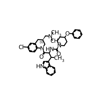 CC(c1c[nH]c2ccccc12)C(NC(=O)N1CCC(Oc2ccccc2)CC1)C(=O)N1C[C@H](CN(C)C)Cc2cc(Cl)ccc21